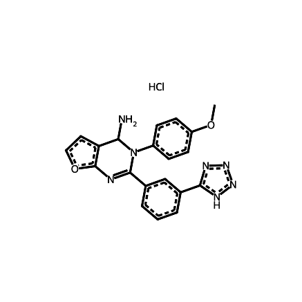 COc1ccc(N2C(c3cccc(-c4nnn[nH]4)c3)=Nc3occc3C2N)cc1.Cl